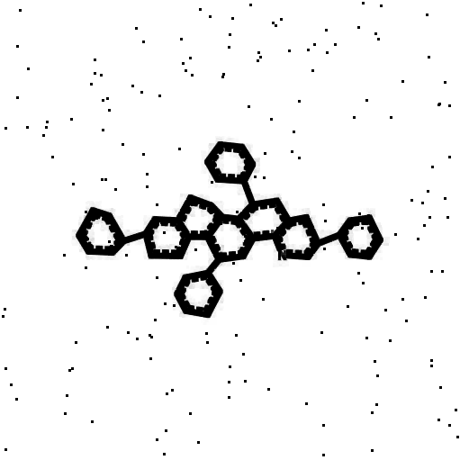 c1ccc(-c2ccc3c(ccc4c3c(-c3ccccc3)cc3c5ncc(-c6ccccc6)cc5cc(-c5ccccc5)c34)c2)cc1